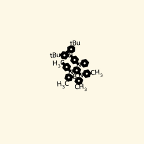 Cc1ccc(N2c3ccc(C)cc3B3c4cc(C)ccc4N(c4ccc(C)cc4)c4cc(N(c5ccccc5)c5ccc(-n6c7ccc(C(C)(C)C)cc7c7cc(C(C)(C)C)ccc76)cc5)cc2c43)cc1